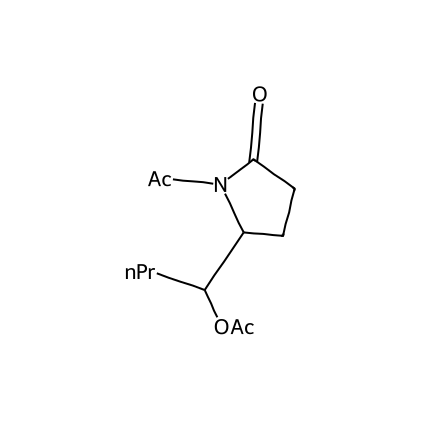 CCCC(OC(C)=O)C1CCC(=O)N1C(C)=O